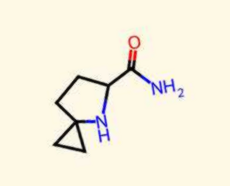 NC(=O)C1CCC2(CC2)N1